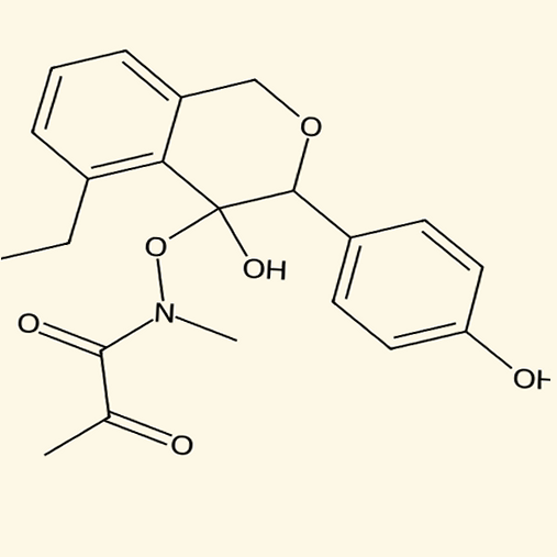 CCc1cccc2c1C(O)(ON(C)C(=O)C(C)=O)C(c1ccc(O)cc1)OC2